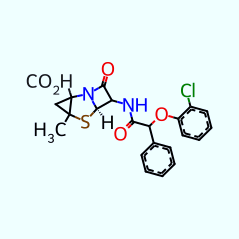 CC12CC1(C(=O)O)N1C(=O)C(NC(=O)C(Oc3ccccc3Cl)c3ccccc3)[C@H]1S2